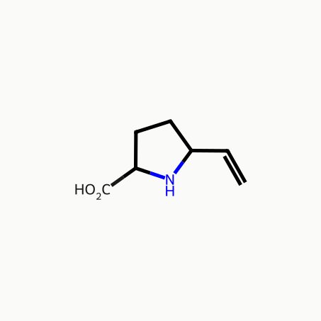 C=CC1CCC(C(=O)O)N1